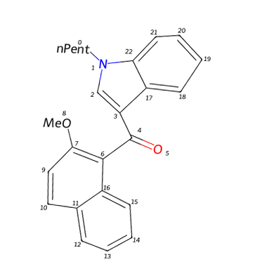 CCCCCn1cc(C(=O)c2c(OC)ccc3ccccc23)c2ccccc21